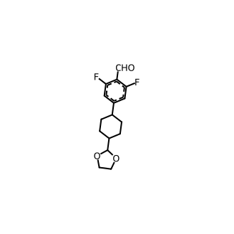 O=Cc1c(F)cc(C2CCC(C3OCCO3)CC2)cc1F